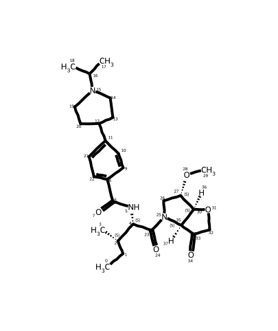 CC[C@H](C)[C@H](NC(=O)c1ccc(C2CCN(C(C)C)CC2)cc1)C(=O)N1C[C@H](OC)[C@H]2OCC(=O)[C@H]21